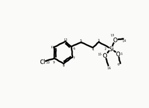 CO[Si](CCCc1ccc(Cl)cc1)(OC)OC